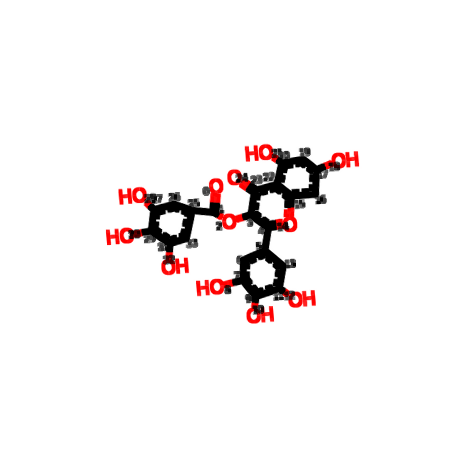 O=C(Oc1c(-c2cc(O)c(O)c(O)c2)oc2cc(O)cc(O)c2c1=O)c1cc(O)c(O)c(O)c1